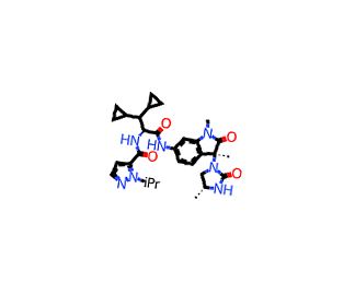 CC(C)n1nccc1C(=O)N[C@H](C(=O)Nc1ccc2c(c1)N(C)C(=O)[C@@]2(C)N1C[C@@H](C)NC1=O)C(C1CC1)C1CC1